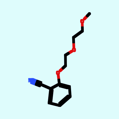 COCCOCCOc1ccccc1C#N